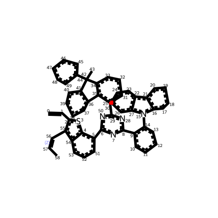 C=Cc1sc2c(-c3nc(-c4ccccc4-n4c5ccccc5c5ccccc54)nc(-c4cccc5c4-c4ccccc4C5(C)c4ccccc4)n3)cccc2c1/C=C\C